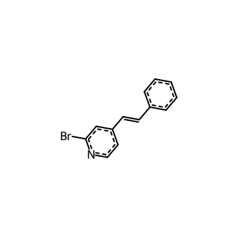 Brc1cc(C=Cc2ccccc2)ccn1